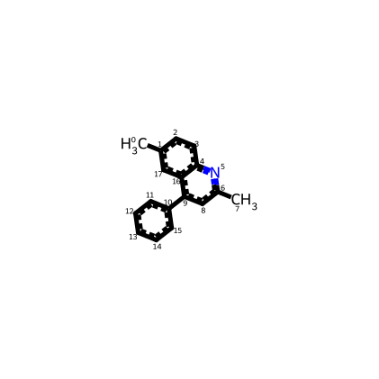 Cc1ccc2nc(C)cc(-c3ccccc3)c2c1